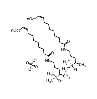 CCCCCCCC/C=C\CCCCCCCC(=O)NCCCC(C)[N+](C)(C)CC.CCCCCCCC/C=C\CCCCCCCC(=O)NCCCC(C)[N+](C)(C)CC.O=S(=O)([O-])[O-]